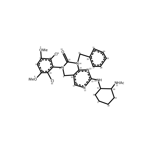 COc1cc(OC)c(Cl)c(N2Cc3cnc(NC4CCCCC4NC(C)=O)nc3N(Cc3ccccc3)C2=O)c1Cl